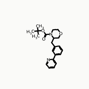 CC(C)(C)OC(=O)N1CCOCC1Cc1cccc(-c2ccccn2)c1